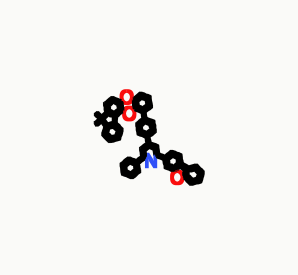 CC1(C)c2ccccc2-c2c1ccc1c2Oc2c(cccc2-c2ccc(-c3cc(-c4ccccc4)nc(-c4ccc5c(c4)oc4ccccc45)c3)cc2)O1